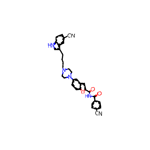 N#Cc1ccc(C(=O)NC(=O)c2cc3cc(N4CCN(CCCCc5c[nH]c6ccc(C#N)cc56)CC4)ccc3o2)cc1